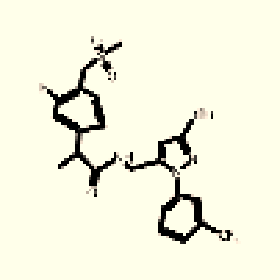 CC(C(=O)NCc1cc(C(C)(C)C)nn1-c1cccc(C(F)(F)F)c1)c1ccc(CS(C)(=O)=O)c(F)c1